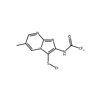 CCSc1c(NC(=O)C(F)(F)F)nc2ncc(C)cn12